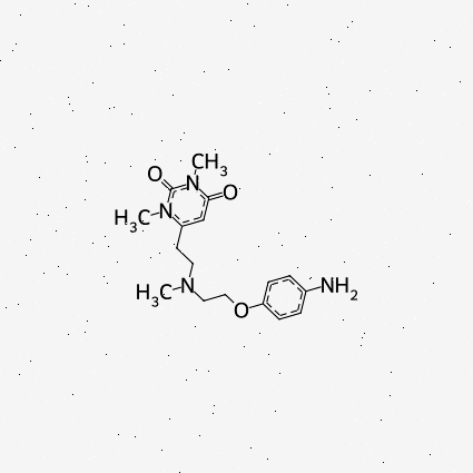 CN(CCOc1ccc(N)cc1)CCc1cc(=O)n(C)c(=O)n1C